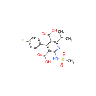 CC(C)c1nc(NS(C)(=O)=O)c(C(=O)O)c(-c2ccc(F)cc2)c1C(=O)O